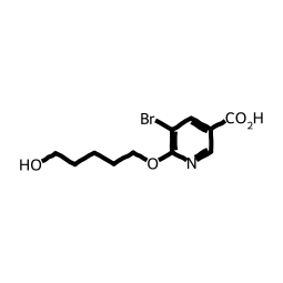 O=C(O)c1cnc(OCCCCCO)c(Br)c1